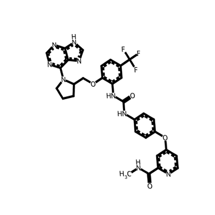 CNC(=O)c1cc(Oc2ccc(NC(=O)Nc3cc(C(F)(F)F)ccc3OCC3CCCN3c3ncnc4[nH]cnc34)cc2)ccn1